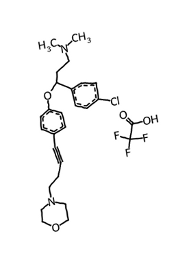 CN(C)CCC(Oc1ccc(C#CCCN2CCOCC2)cc1)c1ccc(Cl)cc1.O=C(O)C(F)(F)F